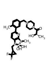 Cc1ccc(CN2CCN(C(=O)[C@H](C)O)CC2)cc1-c1ccc2c(n1)N(C)S(O)(O)N2CC1CC1(F)F